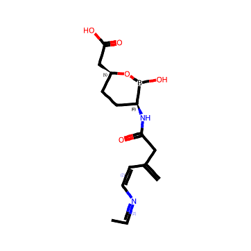 C=C(/C=C\N=C/C)CC(=O)N[C@H]1CC[C@@H](CC(=O)O)OB1O